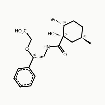 CC(C)[C@@H]1CC[C@@H](C)C[C@@]1(O)C(=O)NC[C@@H](OCC(=O)O)c1ccccc1